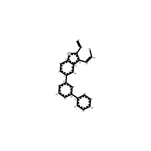 C=Cc1oc2ccc(-c3cccc(-c4ccccc4)c3)cc2c1/C=C\C